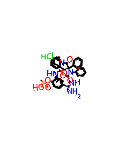 CC(C)(C)OC(=O)N(c1ccccc1)[C@](Cc1ccccc1)(C(=O)N1CCC[C@H]1C(=O)Nc1cc(C(=N)N)ccc1OP(C)(=O)O)c1ccccc1.Cl